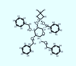 CC1(C)CP(=O)(O[C@@H]2[C@@H](OCc3ccccc3)[C@H](OCc3ccccc3)[C@@H](COCc3ccccc3)O[C@H]2Sc2ccccc2)C1